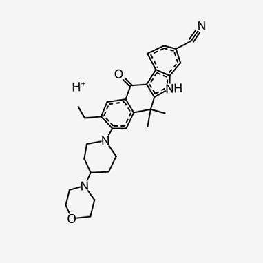 CCc1cc2c(cc1N1CCC(N3CCOCC3)CC1)C(C)(C)c1[nH]c3cc(C#N)ccc3c1C2=O.[H+]